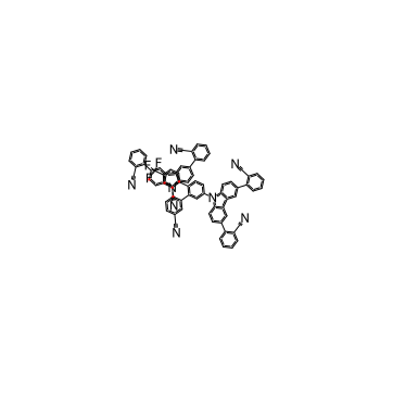 N#Cc1ccc(-n2c3ccc(-c4ccccc4C#N)cc3c3cc(-c4ccccc4C#N)ccc32)c(-c2cc(-n3c4ccc(-c5ccccc5C#N)cc4c4cc(-c5ccccc5C#N)ccc43)ccc2-c2ccc(C(F)(F)F)cc2C#N)c1